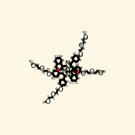 COCCOCCOc1ccc(C2=NC(c3cccc4ccccc34)(n3c(-c4cccc5ccccc45)nc(-c4ccc(OCCOCCOC)cc4)c3-c3ccc(OCCOCCOC)cc3)N=C2c2ccc(OCCOCCOC)cc2)cc1